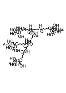 CC(=O)N[C@@H]1C(OCCCCC(=O)NC(CCCCNC(=O)CCCCOC(OC(CO)[C@@H](C)O)[C@H](CO)NC(C)=O)C(=O)NC(CCCCNC(=O)C(CCCCNC(=O)CCCCOC(OC(CO)[C@@H](C)O)[C@H](CO)NC(C)=O)NC(=O)CCCCOC(OC(CO)[C@@H](C)O)[C@H](CO)NC(C)=O)C(C)=O)OC(CO)C(O)C1O